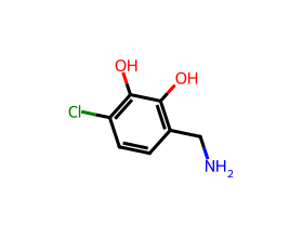 NCc1ccc(Cl)c(O)c1O